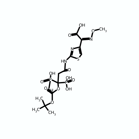 CON=C(C(=O)O)c1csc(NC(=O)CC(OC(=O)OC(C)(C)C)(P(=O)(O)O)P(=O)(O)O)n1